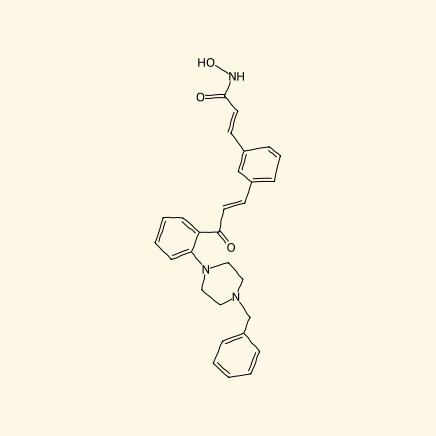 O=C(C=Cc1cccc(C=CC(=O)c2ccccc2N2CCN(Cc3ccccc3)CC2)c1)NO